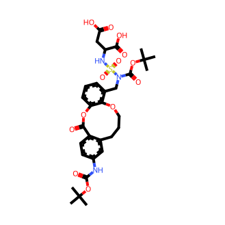 CC(C)(C)OC(=O)Nc1ccc2c(c1)CCCOc1c(CN(C(=O)OC(C)(C)C)S(=O)(=O)NC(CC(=O)O)C(=O)O)cccc1OC2=O